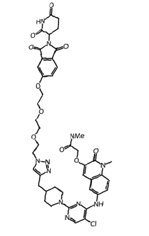 CNC(=O)COc1cc2cc(Nc3nc(N4CCC(Cc5cn(CCOCCOCCOc6ccc7c(c6)C(=O)N(C6CCC(=O)NC6=O)C7=O)nn5)CC4)ncc3Cl)ccc2n(C)c1=O